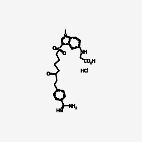 Cl.Cn1cc(S(=O)(=O)CCCCC(=O)CCc2ccc(C(=N)N)cc2)c2cc(NCC(=O)O)ccc21